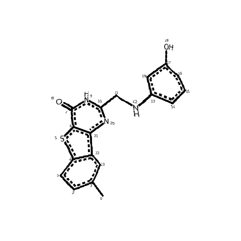 Cc1ccc2sc3c(=O)[nH]c(CNc4cccc(O)c4)nc3c2c1